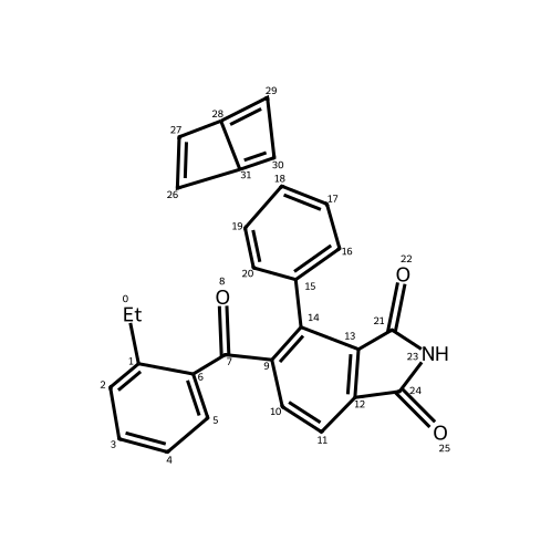 CCc1ccccc1C(=O)c1ccc2c(c1-c1ccccc1)C(=O)NC2=O.c1cc2ccc1-2